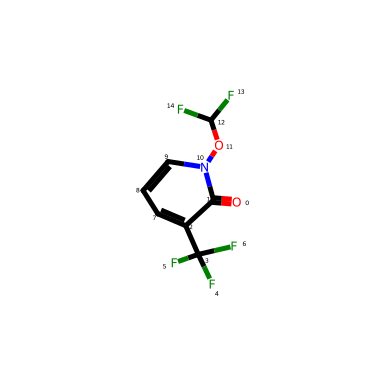 O=c1c(C(F)(F)F)cccn1OC(F)F